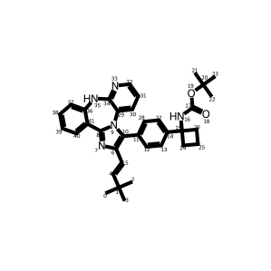 CC(C)(C)/C=C/c1nc2n(c1-c1ccc(C3(NC(=O)OC(C)(C)C)CCC3)cc1)-c1cccnc1Nc1ccccc1-2